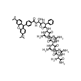 CN(C)c1ccc2c(-c3ccc(C(=O)NC(O)C(=O)NC(C(=O)NC(NC(=N)N)C(=O)NC(NC(=N)N)C(=O)NC(NC(=N)N)C(=O)NC(NC(=N)N)C(=O)NC(N)C(N)=O)c4ccccc4)cc3)c3ccc(=[N+](C)C)cc-3oc2c1